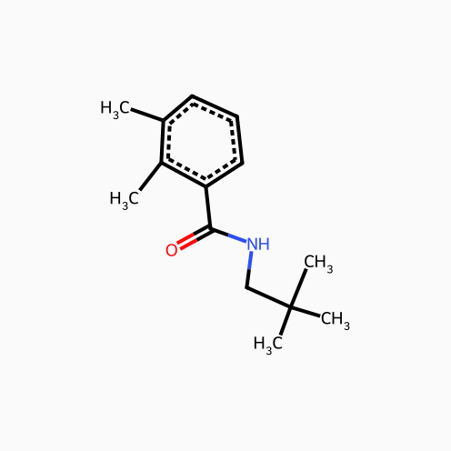 Cc1cccc(C(=O)NCC(C)(C)C)c1C